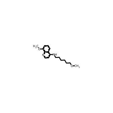 COCCCCCCNc1ccnc2c(OC)cccc12